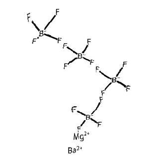 F[B-](F)(F)F.F[B-](F)(F)F.F[B-](F)(F)F.F[B-](F)(F)F.[Ba+2].[Mg+2]